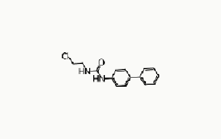 O=C(NCCCl)Nc1ccc(-c2ccccc2)cc1